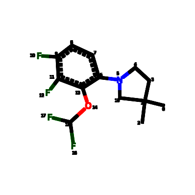 CC1(C)CCN(c2ccc(F)c(F)c2OC(F)F)C1